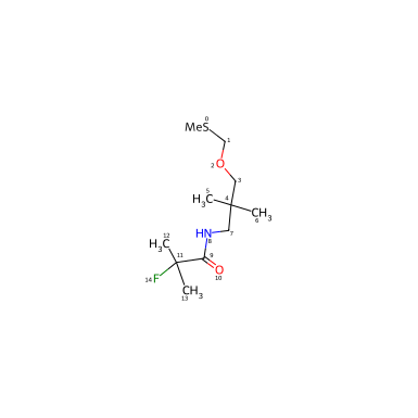 CSCOCC(C)(C)CNC(=O)C(C)(C)F